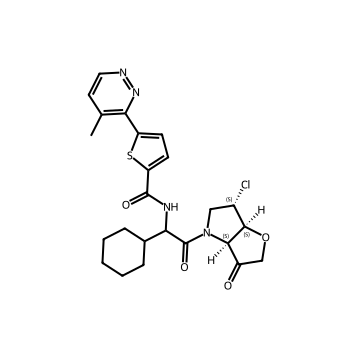 Cc1ccnnc1-c1ccc(C(=O)NC(C(=O)N2C[C@H](Cl)[C@H]3OCC(=O)[C@H]32)C2CCCCC2)s1